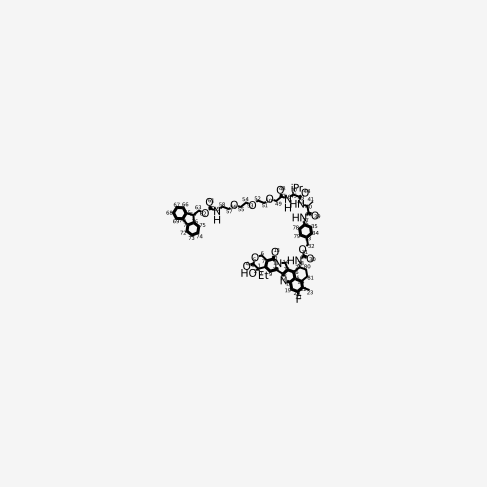 CC[C@@]1(O)C(=O)OCc2c1cc1n(c2=O)Cc2c-1nc1cc(F)c(C)c3c1c2[C@H](NC(=O)OCc1ccc(NC(=O)[C@H](C)NC(=O)[C@@H](NC(=O)COCCOCCOCCNC(=O)OCC2c4ccccc4-c4ccccc42)C(C)C)cc1)CC3